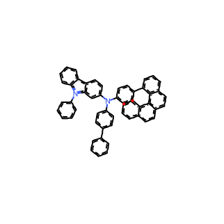 c1ccc(-c2ccc(N(c3ccc(-c4cccc5ccc6ccc7ccccc7c6c45)cc3)c3ccc4c5ccccc5n(-c5ccccc5)c4c3)cc2)cc1